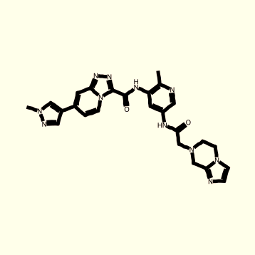 Cc1ncc(NC(=O)CN2CCn3ccnc3C2)cc1NC(=O)c1nnc2cc(-c3cnn(C)c3)ccn12